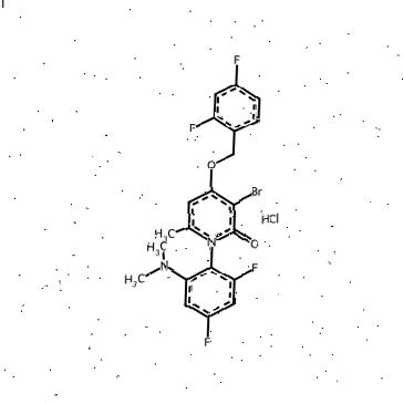 Cc1cc(OCc2ccc(F)cc2F)c(Br)c(=O)n1-c1c(F)cc(F)cc1N(C)C.Cl